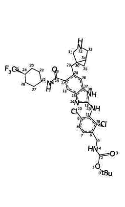 CC(C)(C)OC(=O)NCc1ccc(Cl)c(Nc2nc3cc(C(=O)N[C@H]4CC[C@H](C(F)(F)F)CC4)c(CC45CNCC4C5)cc3[nH]2)c1Cl